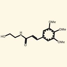 COc1cc(C=CC(=O)NCCO)cc(OC)c1OC